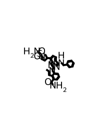 Cc1cc2c(C(N)=O)cccc2n1-c1nc(NCc2ccccc2)c2ccc(C3CCN(S(N)(=O)=O)C3)n2n1